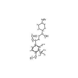 CCCC1CCC(C(O)CCC(OC=O)c2ccc(OCC)c([Si](C)(C)C)c2F)CC1